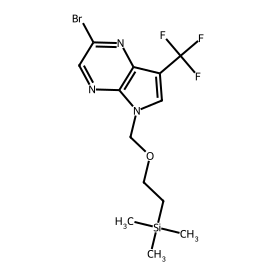 C[Si](C)(C)CCOCn1cc(C(F)(F)F)c2nc(Br)cnc21